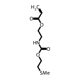 C=CC(=O)OCCNC(=O)OCCSC